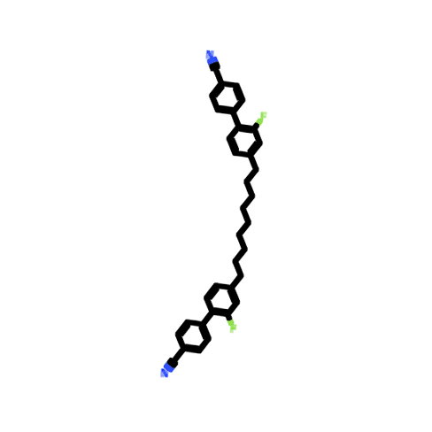 N#Cc1ccc(-c2ccc(CCCCCCCCCc3ccc(-c4ccc(C#N)cc4)c(F)c3)cc2F)cc1